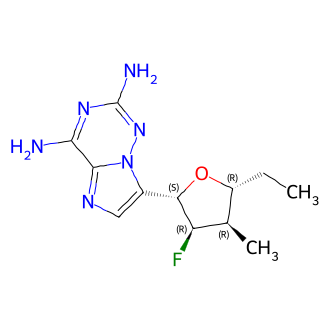 CC[C@H]1O[C@@H](c2cnc3c(N)nc(N)nn23)[C@H](F)[C@@H]1C